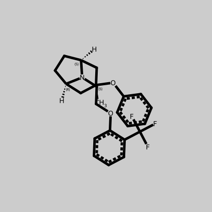 C[C@@]1(Oc2ccccc2)C[C@H]2CC[C@@H](C1)N2CCOc1ccccc1C(F)(F)F